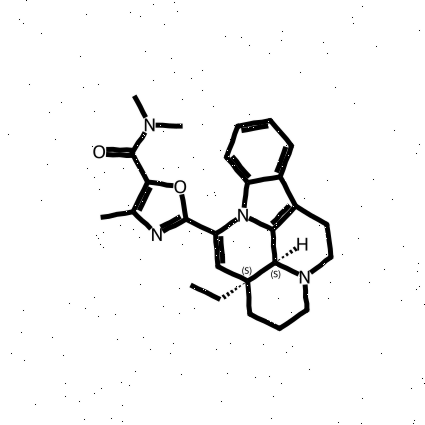 CC[C@@]12C=C(c3nc(C)c(C(=O)N(C)C)o3)n3c4c(c5ccccc53)CCN(CCC1)[C@H]42